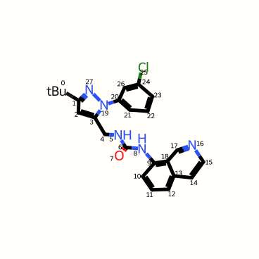 CC(C)(C)c1cc(CNC(=O)Nc2cccc3ccncc23)n(-c2cccc(Cl)c2)n1